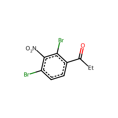 CCC(=O)c1ccc(Br)c([N+](=O)[O-])c1Br